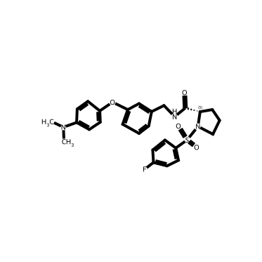 CN(C)c1ccc(Oc2cccc(CNC(=O)[C@@H]3CCCN3S(=O)(=O)c3ccc(F)cc3)c2)cc1